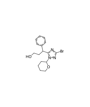 OCCC(c1ccccc1)c1nc(Br)nn1C1CCCCO1